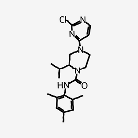 Cc1cc(C)c(NC(=O)N2CCN(c3ccnc(Cl)n3)CC2C(C)C)c(C)c1